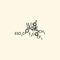 CCOC(=O)CC1CCN(C(=O)N2CCN(C(=O)NC[C@H](C)c3cc(C(F)(F)F)cc(C(F)(F)F)c3)C(c3ccc(F)cc3C)C2)CC1